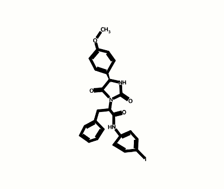 COc1ccc([C@H]2NC(=O)N(C(Cc3ccccc3)C(=O)Nc3ccc(I)cc3)C2=O)cc1